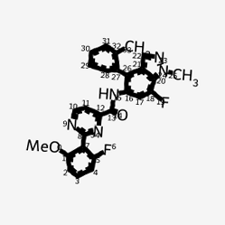 COc1cccc(F)c1-c1nccc(C(=O)Nc2cc(F)c3c(cnn3C)c2-c2ccccc2C)n1